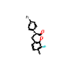 CCc1ccc(C2Cc3ccc(C)c(F)c3OC2=O)cc1